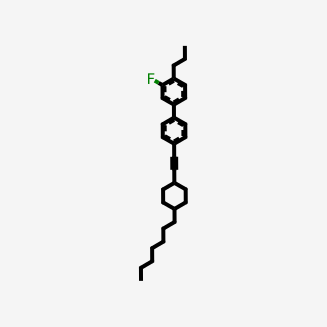 CCCCCCCC1CCC(C#Cc2ccc(-c3ccc(CCC)c(F)c3)cc2)CC1